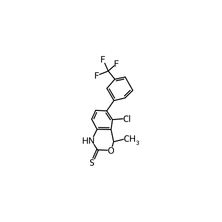 CC1OC(=S)Nc2ccc(-c3cccc(C(F)(F)F)c3)c(Cl)c21